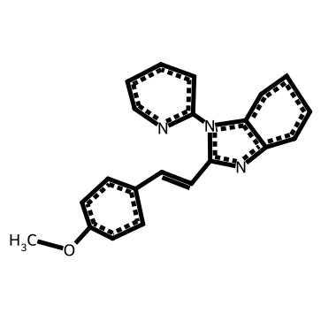 COc1ccc(C=Cc2nc3ccccc3n2-c2ccccn2)cc1